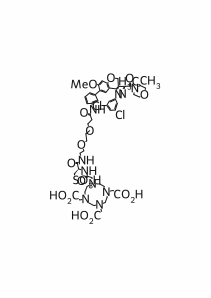 COc1cc2c(cc1-c1cccc(NC(=O)CCOCCOCCNC(=O)[C@H](CS(=O)(=O)O)NC(=O)CN3CCN(CC(=O)O)CCN(CC(=O)O)CCN(CC(=O)O)CC3)c1)-c1c(c(C(=O)N3CCOCC3(C)C)nn1-c1cc(Cl)cc(Cl)c1)CO2